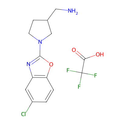 NCC1CCN(c2nc3cc(Cl)ccc3o2)C1.O=C(O)C(F)(F)F